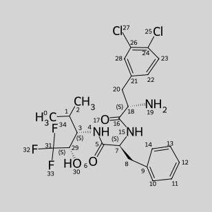 CC(C)[C@H](NC(=O)[C@H](Cc1ccccc1)NC(=O)[C@@H](N)Cc1ccc(Cl)c(Cl)c1)[C@H](O)C(F)(F)F